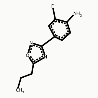 CCCc1nc(-c2ccc(N)c(F)c2)no1